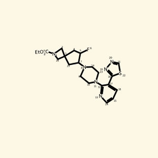 CCOC(=O)N1CC2(CC(F)C(N3CCN(c4ncccc4-c4nncs4)CC3)C2)C1